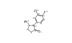 CC(C)C1CCC(=O)N1c1ccc(F)c(Cl)c1